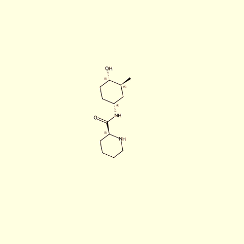 C[C@H]1C[C@H](NC(=O)[C@@H]2CCCCN2)CC[C@@H]1O